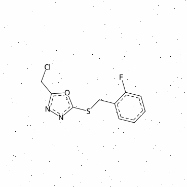 Fc1ccccc1CSc1nnc(CCl)o1